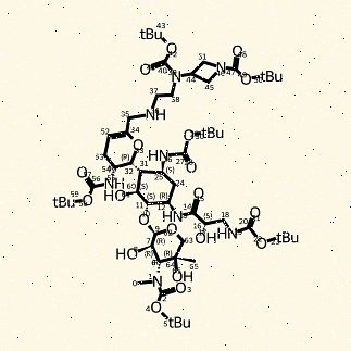 CN(C(=O)OC(C)(C)C)[C@@H]1[C@@H](O)[C@@H](O[C@H]2[C@H](NC(=O)[C@@H](O)CNC(=O)OC(C)(C)C)C[C@H](NC(=O)OC(C)(C)C)C([C@H]3OC(CNCCN(C(=O)OC(C)(C)C)C4CN(C(=O)OC(C)(C)C)C4)=CC[C@H]3NC(=O)OC(C)(C)C)[C@@H]2O)OC[C@]1(C)O